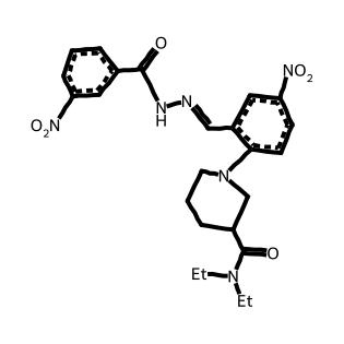 CCN(CC)C(=O)C1CCCN(c2ccc([N+](=O)[O-])cc2/C=N/NC(=O)c2cccc([N+](=O)[O-])c2)C1